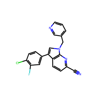 N#Cc1ccc2c(-c3ccc(Cl)c(F)c3)cn(Cc3cccnc3)c2n1